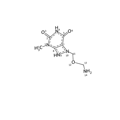 Cn1c(=O)[nH]c(=O)c2c1[nH]n2COCN